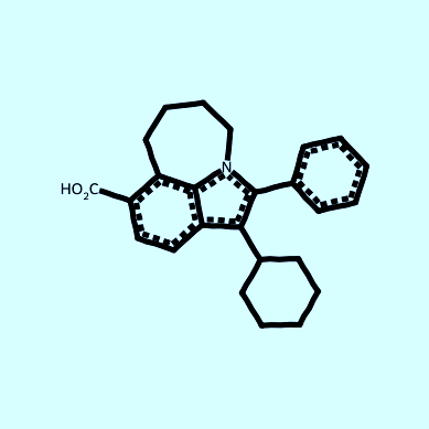 O=C(O)c1ccc2c(C3CCCCC3)c(-c3ccccc3)n3c2c1CCCC3